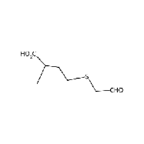 CC(CCSCC=O)C(=O)O